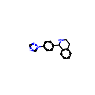 c1ccc2c(c1)CCNC2c1ccc(-n2cncn2)cc1